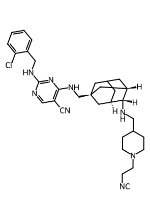 [C-]#[N+]CCN1CCC(CN[C@@H]2[C@@H]3CC4C[C@H]2C[C@@](CNc2nc(NCc5ccccc5Cl)ncc2C#N)(C4)C3)CC1